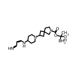 BC(C)(O)OC(=O)N1CCC2(CC(N3CCC(N/C=C\C=N)CC3)C2)C1